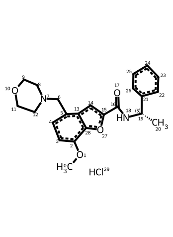 COc1ccc(CN2CCOCC2)c2cc(C(=O)N[C@@H](C)c3ccccc3)oc12.Cl